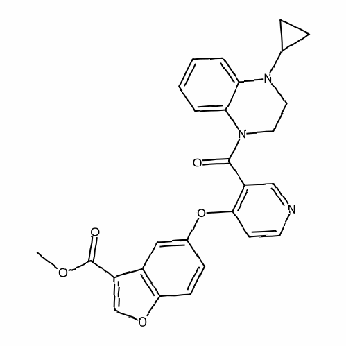 COC(=O)c1coc2ccc(Oc3ccncc3C(=O)N3CCN(C4CC4)c4ccccc43)cc12